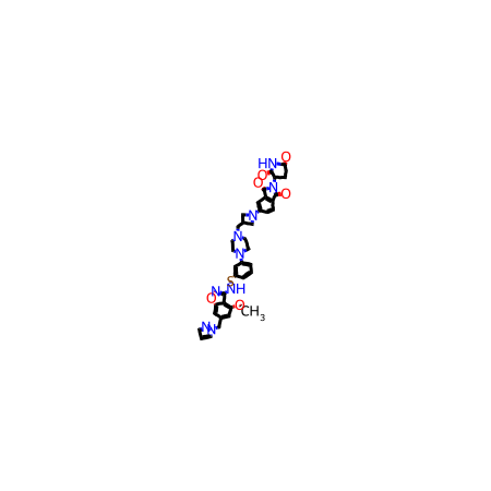 COc1cc(Cn2cccn2)cc2onc(NSc3cccc(N4CCN(CC5CN(c6ccc7c(c6)C(=O)N(C6CCC(=O)NC6=O)C7=O)C5)CC4)c3)c12